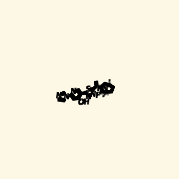 C=C(c1nnc(-c2cnc(-n3ccnc3)cc2O)s1)[C@@H]1C[C@@]2(C)CC[C@](C)(N2)[C@H]1F